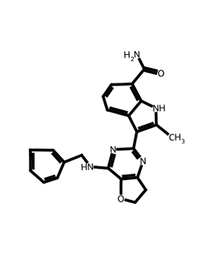 Cc1[nH]c2c(C(N)=O)cccc2c1-c1nc2c(c(NCc3ccccc3)n1)OCC2